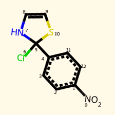 O=[N+]([O-])c1[c]cc(C2(Cl)NC=CS2)cc1